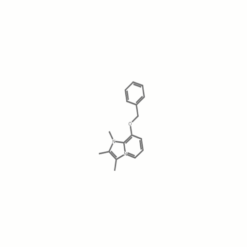 Cc1c(C)[n+]2cccc(OCc3ccccc3)c2n1C